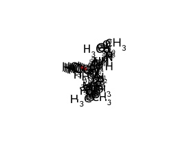 COc1cc2c(cc1OC)C(CCCCC(CCCCC(CCCCC1NCCc3cc(OC)c(OC)cc31)C1NCCc3cc(OC)c(OC)cc31)C1NCCc3cc(OC)c(OC)cc31)NCC2.Cl.Cl.Cl.Cl